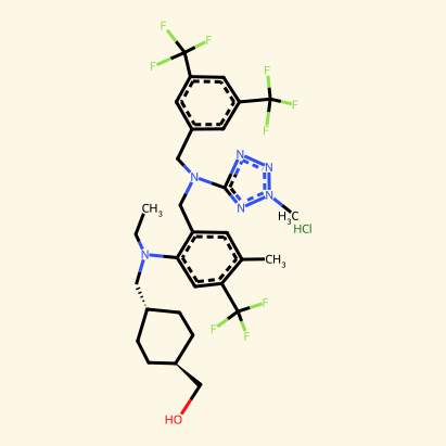 CCN(C[C@H]1CC[C@H](CO)CC1)c1cc(C(F)(F)F)c(C)cc1CN(Cc1cc(C(F)(F)F)cc(C(F)(F)F)c1)c1nnn(C)n1.Cl